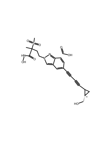 CC(CCn1cc2cc(C#CC#CC3C[C@@H]3CO)ccc2n1)(C(=O)NO)S(C)(=O)=O.O=CO